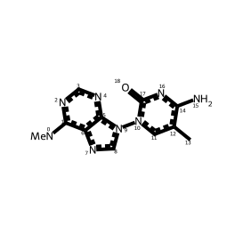 CNc1ncnc2c1ncn2-n1cc(C)c(N)nc1=O